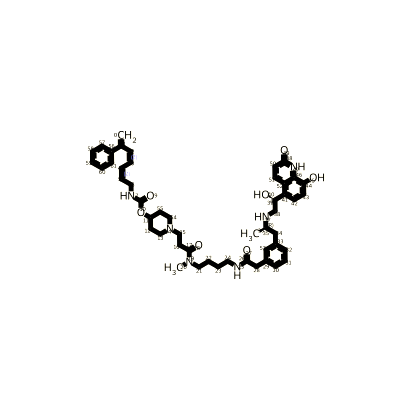 C=C(/C=C\C=C/CNC(=O)OC1CCN(CCC(=O)N(C)CCCCNC(=O)Cc2cccc(C[C@@H](C)NC[C@H](O)c3ccc(O)c4[nH]c(=O)ccc34)c2)CC1)c1ccccc1